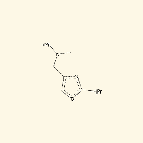 CCCN(C)Cc1coc(C(C)C)n1